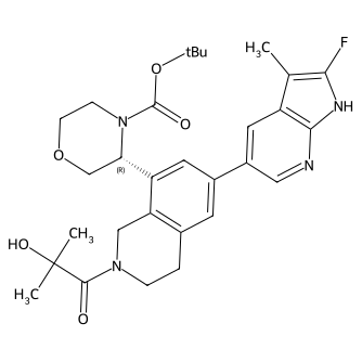 Cc1c(F)[nH]c2ncc(-c3cc4c(c([C@@H]5COCCN5C(=O)OC(C)(C)C)c3)CN(C(=O)C(C)(C)O)CC4)cc12